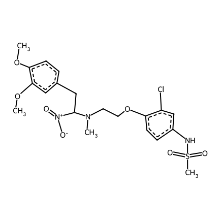 COc1ccc(CC(N(C)CCOc2ccc(NS(C)(=O)=O)cc2Cl)[N+](=O)[O-])cc1OC